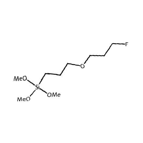 CO[Si](CCCOCCCF)(OC)OC